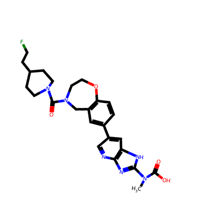 CN(C(=O)O)c1nc2ncc(-c3ccc4c(c3)CN(C(=O)N3CCC(CCF)CC3)CCO4)cc2[nH]1